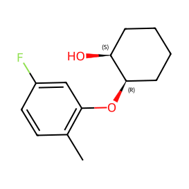 Cc1ccc(F)cc1O[C@@H]1CCCC[C@@H]1O